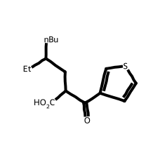 CCCCC(CC)CC(C(=O)O)C(=O)c1ccsc1